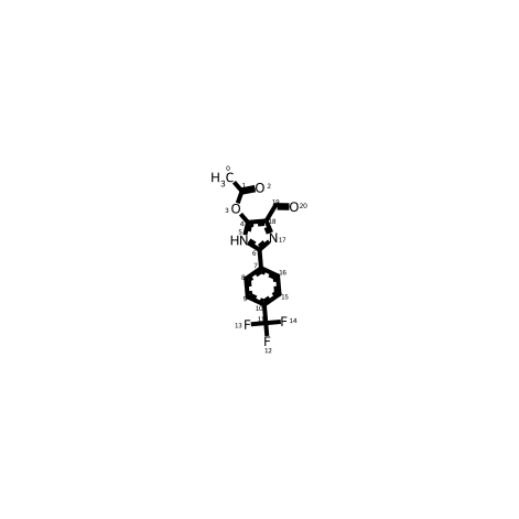 CC(=O)Oc1[nH]c(-c2ccc(C(F)(F)F)cc2)nc1C=O